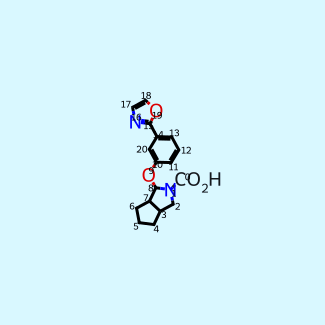 O=C(O)N1CC2CCCC2C1Oc1cccc(-c2ncco2)c1